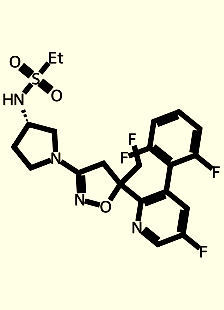 CCS(=O)(=O)N[C@H]1CCN(C2=NOC(CF)(c3ncc(F)cc3-c3c(F)cccc3F)C2)C1